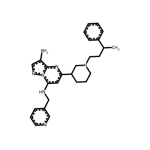 Bc1cnn2c(NCc3cccnc3)cc(C3CCCN(CCC(C)c4ccccc4)C3)nc12